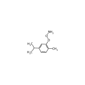 Cc1ccc(C(C)C)cc1OON